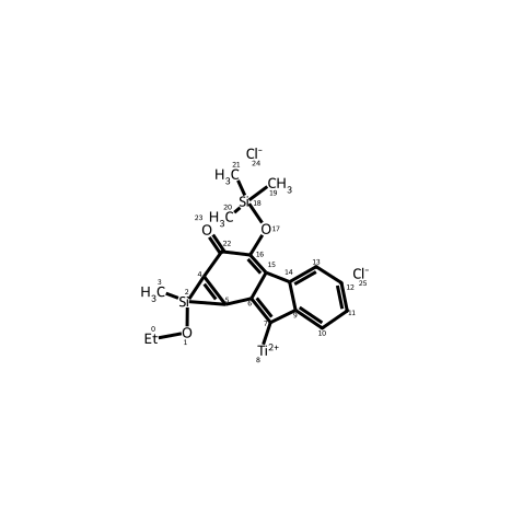 CCO[Si]1(C)C2=C1C1=[C]([Ti+2])c3ccccc3C1=C(O[Si](C)(C)C)C2=O.[Cl-].[Cl-]